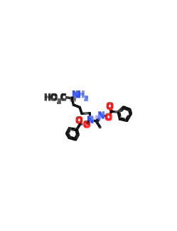 C/C(=N\OC(=O)c1ccccc1)N(CCCC[C@H](N)C(=O)O)OC(=O)c1ccccc1